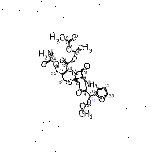 CO/N=C(\C(=O)N[C@@H]1C(=O)N2C(C(=O)OC(C)OC(C)=O)=C(COC(N)=O)CS[C@H]12)c1ccco1